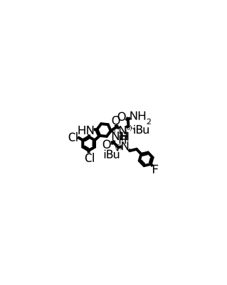 CCC(C)[C@H](NC(=O)[C@@]1(NC(=O)[C@@H](NCCc2ccc(F)cc2)C(C)CC)CCc2[nH]c3c(Cl)cc(Cl)cc3c2C1)C(N)=O